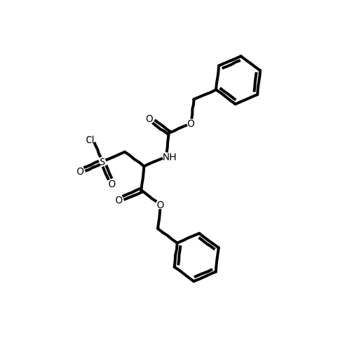 O=C(NC(CS(=O)(=O)Cl)C(=O)OCc1ccccc1)OCc1ccccc1